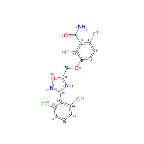 NC(=O)c1c(F)ccc(OCc2nc(-c3c(Cl)cccc3Cl)no2)c1F